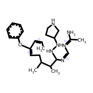 C/C=C\C(=C/CC(C)C(C)C(/N=C\N=C(/C)N)NNC1CCNC1)Oc1ccccc1